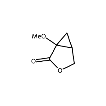 COC12CC1COC2=O